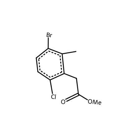 COC(=O)Cc1c(Cl)ccc(Br)c1C